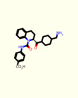 NCC1CCC(C(=O)[C@@H]2CCc3ccccc3N2C(=O)Nc2ccc(C(=O)O)cc2)CC1